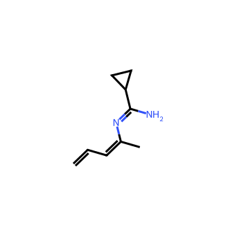 C=C/C=C(C)\N=C(/N)C1CC1